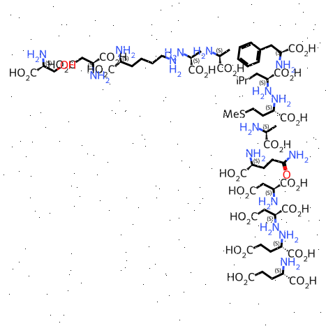 CC(C)C[C@H](N)C(=O)O.CSCC[C@H](N)C(=O)O.C[C@H](N)C(=O)O.C[C@H](N)C(=O)O.C[C@H](N)C(=O)O.NC(=O)CC[C@H](N)C(=O)O.NCCCC[C@H](N)C(=O)O.N[C@@H](CC(=O)O)C(=O)O.N[C@@H](CC(=O)O)C(=O)O.N[C@@H](CC(=O)O)C(=O)O.N[C@@H](CCC(=O)O)C(=O)O.N[C@@H](CCC(=O)O)C(=O)O.N[C@@H](CO)C(=O)O.N[C@@H](Cc1ccccc1)C(=O)O